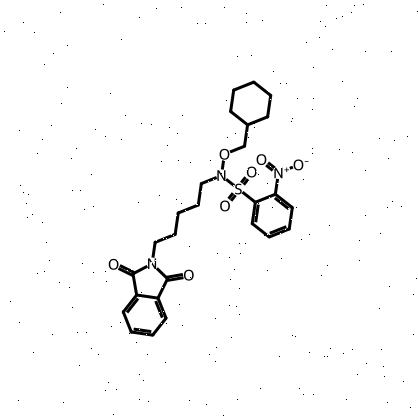 O=C1c2ccccc2C(=O)N1CCCCCN(OCC1CCCCC1)S(=O)(=O)c1ccccc1[N+](=O)[O-]